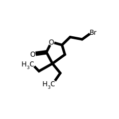 CCC1(CC)CC(CCBr)OC1=O